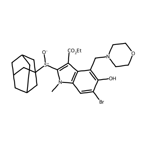 CCOC(=O)c1c([S+]([O-])C23CC4CC(CC(C4)C2)C3)n(C)c2cc(Br)c(O)c(CN3CCOCC3)c12